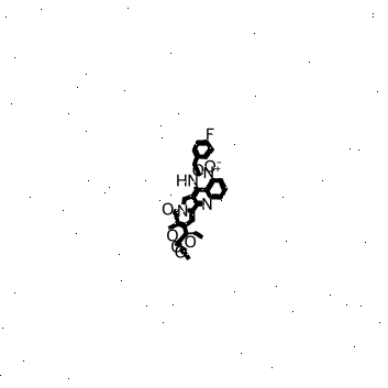 CC[C@@]1(OC(C)=O)C(=O)OCc2c1cc1n(c2=O)Cc2c-1nc1cccc([N+](=O)[O-])c1c2NCCc1ccc(F)cc1